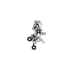 C[C@H](N[P@@](=O)(OCC1OC(n2ccc(N)nc2=O)C(F)(F)C1O)Oc1ccccc1)C(=O)OCc1ccccc1